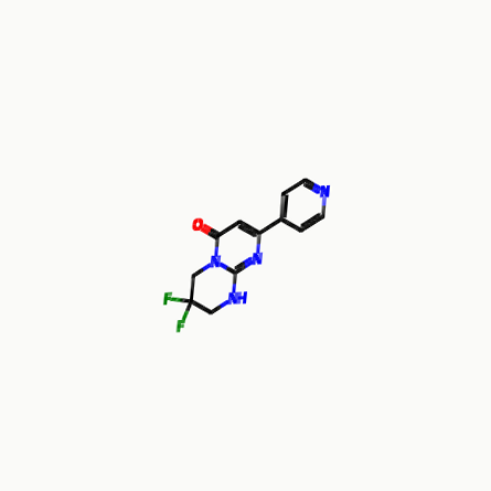 O=c1cc(-c2ccncc2)nc2n1CC(F)(F)CN2